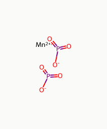 O=P(=O)[O-].O=P(=O)[O-].[Mn+2]